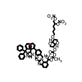 CCOc1nc2cccc(C(=O)OC(C)(C)OC(=O)O[C@@H]3CO[C@@H]4[C@@H]3OC[C@H]4OCCCCC(CO[N+](=O)[O-])O[N+](=O)[O-])c2n1Cc1ccc(-c2ccccc2-c2nnnn2C(c2ccccc2)(c2ccccc2)c2ccccc2)cc1